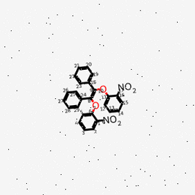 O=[N+]([O-])c1ccccc1OC(=C(Oc1ccccc1[N+](=O)[O-])c1ccccc1)c1ccccc1